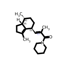 CC1=C2[C@H](/C=C(\C)C(=O)N3CCCCC3)CC[C@@H](C)[C@H]2CC1